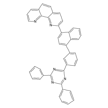 c1ccc(-c2nc(-c3ccccc3)nc(-c3cccc(-c4ccc(-c5ccc6ccc7cccnc7c6n5)c5ccccc45)c3)n2)cc1